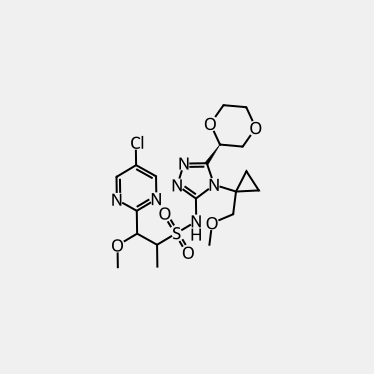 COCC1(n2c(NS(=O)(=O)C(C)C(OC)c3ncc(Cl)cn3)nnc2[C@@H]2COCCO2)CC1